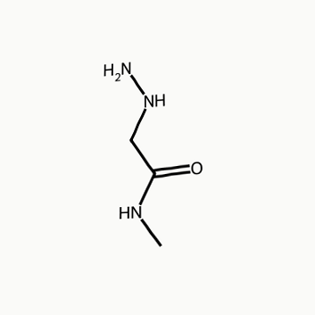 CNC(=O)CNN